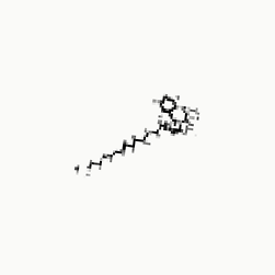 CCCCCCCCCCCCCCN1C=CN(C(C)C)C1c1ccccc1